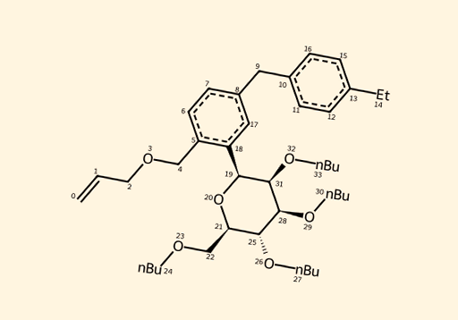 C=CCOCc1ccc(Cc2ccc(CC)cc2)cc1[C@@H]1O[C@H](COCCCC)[C@@H](OCCCC)[C@H](OCCCC)[C@@H]1OCCCC